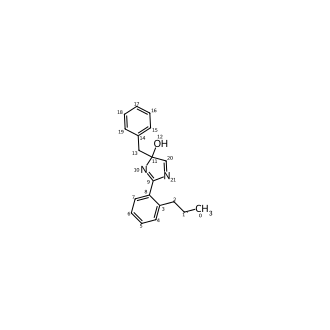 C[CH]Cc1ccccc1C1=NC(O)(Cc2ccccc2)C=N1